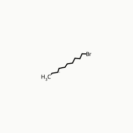 CC[CH]CCCCCCCBr